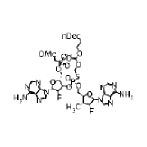 CCCCCCCCCCCCOC(=O)OCSP(=O)(OC[C@H]1O[C@@H](n2cnc3c(N)ncnc32)[C@H](F)[C@@H]1C)O[C@H]1[C@@H](F)[C@H](n2cnc3c(N)ncnc32)O[C@@H]1COP(=O)(O)COC